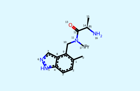 Cc1ccc2[nH]ncc2c1CN(C(=O)[C@@H](C)N)C(C)C